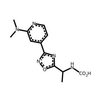 CC(NC(=O)O)c1nc(-c2ccnc(N(C)C)c2)no1